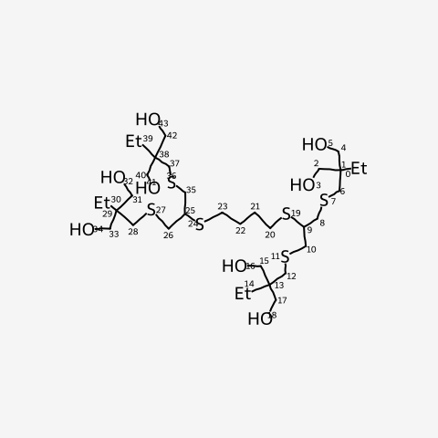 CCC(CO)(CO)CSCC(CSCC(CC)(CO)CO)SCCCCSC(CSCC(CC)(CO)CO)CSCC(CC)(CO)CO